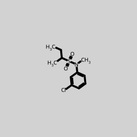 CCC(C)S(=O)(=O)N(C)c1cccc(Cl)c1